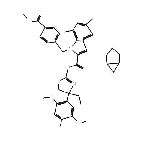 C1CC2CC2C1.CCC1(c2cc(OC)c(Cl)cc2OC)CSC(NC(=O)c2cc3cc(C)cc(C)c3n2Cc2ccc(C(=O)OC)cc2)=N1